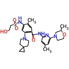 Cc1cc(NC(=O)c2cc(C)c(NS(=O)(=O)CCO)cc2N2CCC3(CC2)CC3)nc(N2CCO[C@H](C)C2)c1